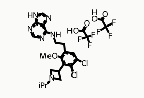 COc1c(CCNc2ncnc3[nH]cnc23)cc(Cl)c(Cl)c1C1CN(C(C)C)C1.O=C(O)C(F)(F)F.O=C(O)C(F)(F)F